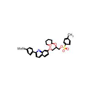 CNc1ccc(-c2ccc3ccc(OCC(COS(=O)(=O)c4ccc(C)cc4)OC4CCCCO4)cc3n2)cc1